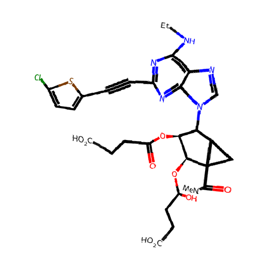 CCNc1nc(C#Cc2ccc(Cl)s2)nc2c1ncn2C1C2CC2(C(=O)NC)[C@@H](OC(O)CCC(=O)O)[C@H]1OC(=O)CCC(=O)O